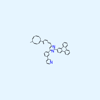 C=C(/C=C\C=C\c1cc(-c2cccc(-c3cccnc3)c2)nc(-c2ccc3c4ccccc4c4ccccc4c3c2)n1)/C1=C/C=C\C(C)/C=C\C=C/C1